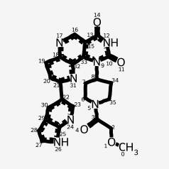 COCC(=O)N1CCC(n2c(=O)[nH]c(=O)c3cnc4ccc(-c5cnc6[nH]ccc6c5)nc4c32)CC1